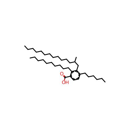 CCCCCCCCCCCCC(C)Cc1c(CCCCCC)ccc(C(=O)O)c1CCCCCCCCCC